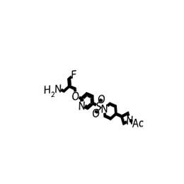 CC(=O)N1CC(C2CCN(S(=O)(=O)c3ccc(OC/C(=C\F)CN)nc3)CC2)C1